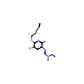 C=CCC[C@@H](C)Oc1nc(C)c(/N=C/N(C)CC)cc1Br